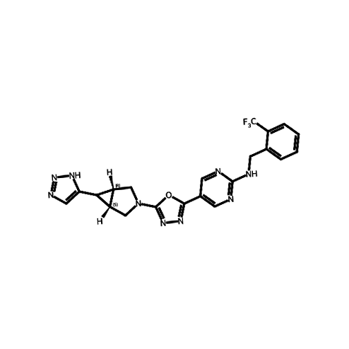 FC(F)(F)c1ccccc1CNc1ncc(-c2nnc(N3C[C@@H]4C(c5cnn[nH]5)[C@@H]4C3)o2)cn1